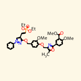 CCOP(=O)(C=Cc1cn(-c2ccccc2)nc1OCc1ccc(OCc2nc(-c3ccc(OC)c(C(=O)OC)c3)oc2C)c(OC)c1)OCC